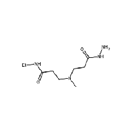 CCNC(=O)CCN(C)CCC(=O)NN